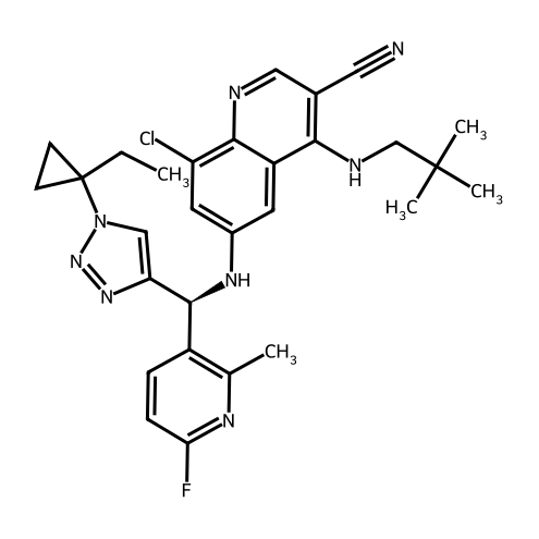 CCC1(n2cc([C@@H](Nc3cc(Cl)c4ncc(C#N)c(NCC(C)(C)C)c4c3)c3ccc(F)nc3C)nn2)CC1